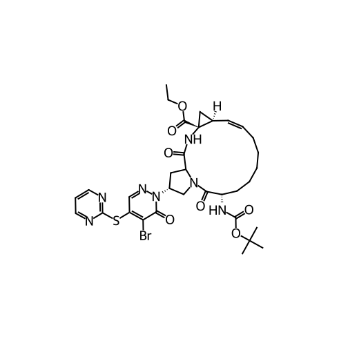 CCOC(=O)[C@@]12C[C@H]1/C=C\CCCCC[C@H](NC(=O)OC(C)(C)C)C(=O)N1C[C@H](n3ncc(Sc4ncccn4)c(Br)c3=O)CC1C(=O)N2